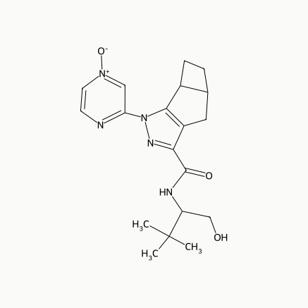 CC(C)(C)C(CO)NC(=O)c1nn(-c2c[n+]([O-])ccn2)c2c1CC1CCC21